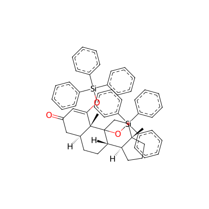 C[C@@]12CCC[C@H]1[C@@H]1CC[C@H]3CC(=O)C=C(O[Si](c4ccccc4)(c4ccccc4)c4ccccc4)[C@]3(C)C1(O[Si](c1ccccc1)(c1ccccc1)c1ccccc1)CC2